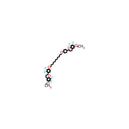 CCOc1cc2c(c(F)c1F)OC(c1ccc(OCCCCCCCCCCCOC3=CCC(C4CCc5cc(OCC)c(F)c(F)c5O4)C=C3)c(F)c1F)CC2